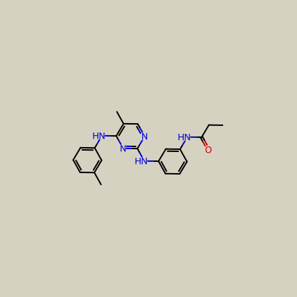 CCC(=O)Nc1cccc(Nc2ncc(C)c(Nc3cccc(C)c3)n2)c1